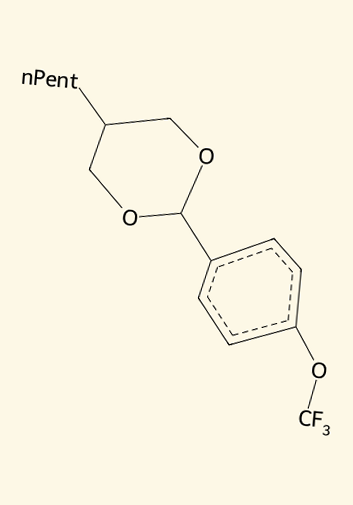 CCCCCC1COC(c2ccc(OC(F)(F)F)cc2)OC1